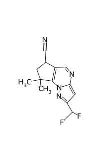 CC1(C)CC(C#N)c2cnc3cc(C(F)F)nn3c21